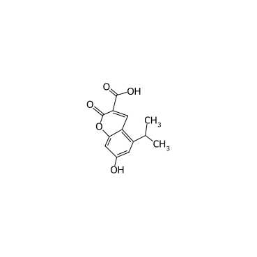 CC(C)c1cc(O)cc2oc(=O)c(C(=O)O)cc12